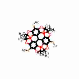 CC(=O)Sc1c2c(c([C](c3c4c(c(SC(C)=O)c5c3OC(C)(C)O5)OC(C)(C)O4)c3c4c(c(SC(C)=O)c5c3OC(C)(C)O5)OC(C)(C)O4)c3c1OC(C)(C)O3)OC(C)(C)O2